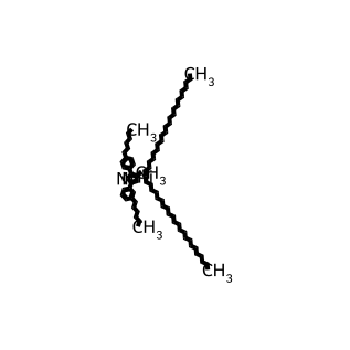 CCCCCCCCCCCCCCCCCCCCCC[CH2][Ni][CH2]CCCCCCCCCCCCCCCCCCCCCC.CCCCCCc1ccc(C2=C(C)C=C(c3cccc(CCCCCC)c3)[N+]2=[N-])cc1